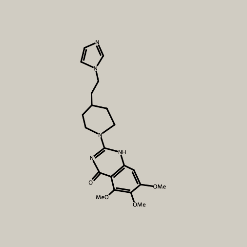 COc1cc2[nH]c(N3CCC(CCn4ccnc4)CC3)nc(=O)c2c(OC)c1OC